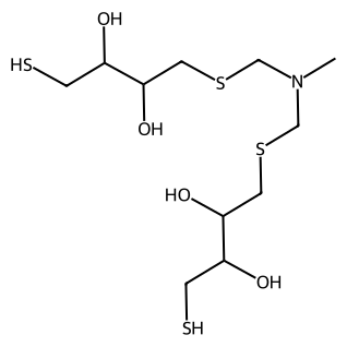 CN(CSCC(O)C(O)CS)CSCC(O)C(O)CS